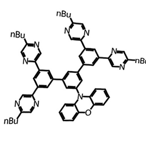 CCCCc1cnc(-c2cc(-c3cc(-c4cc(-c5cnc(CCCC)cn5)cc(-c5cnc(CCCC)cn5)c4)cc(N4c5ccccc5Oc5ccccc54)c3)cc(-c3cnc(CCCC)cn3)c2)cn1